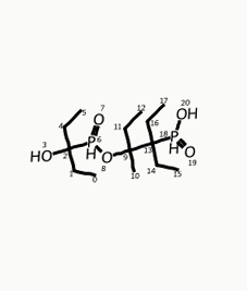 CCC(O)(CC)[PH](=O)OC(C)(CC)C(CC)(CC)[PH](=O)O